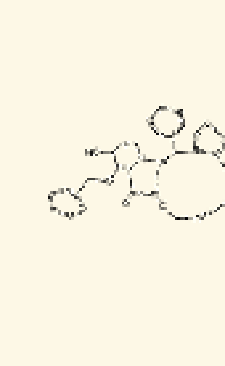 O=C1C2=C(OCc3ccccc3)C(O)C=CN2N2CN1CC/C=C\CCOc1ccccc1[C@H]2c1ccccc1